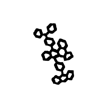 c1ccc(N(c2ccccc2)c2ccc(-c3c4ccccc4c(-c4ccc(-c5c6ccccc6cc6ccccc56)cc4)c4c5ccccc5c5ccccc5c34)cc2)cc1